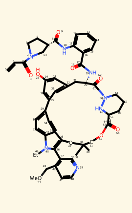 C=CC(=O)N1CC[C@H](C(=O)Nc2ccccc2C(=O)N[C@H]2Cc3cc(O)cc(c3)-c3ccc4c(c3)c(c(-c3cnccc3COC)n4CC)CC(C)(C)COC(=O)[C@@H]3CCCN(N3)C2=O)C1